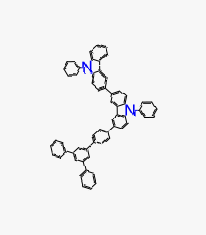 c1ccc(-c2cc(-c3ccccc3)cc(-c3ccc(-c4ccc5c(c4)c4cc(-c6ccc7c(c6)c6ccccc6n7-c6ccccc6)ccc4n5-c4ccccc4)cc3)c2)cc1